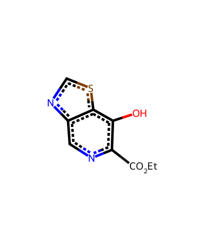 CCOC(=O)c1ncc2ncsc2c1O